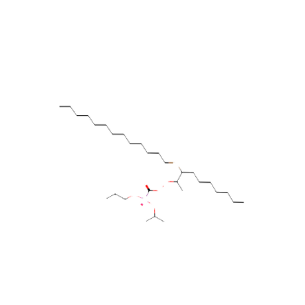 CCCCCCCCCCCCCSC(CCCCCCC)C(C)OOC(=O)P(=O)(OCCC)OC(C)C